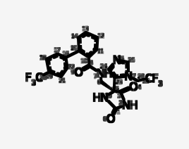 O=C1NC(=O)[C@@](CNC(=O)c2ccccc2-c2ccc(C(F)(F)F)cc2)(c2cncn2CC(F)(F)F)N1